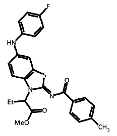 CCC(C(=O)OC)n1/c(=N/C(=O)c2ccc(C)cc2)sc2cc(Nc3ccc(F)cc3)ccc21